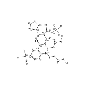 CCOCCN(CCOCC)c1ccc(C(F)(F)F)cc1C(=O)N=c1cc(C(C)(C)C)n(C)n1C[C@H]1CCCO1